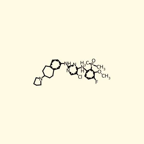 COc1c(F)ccc(Nc2nc(Nc3ccc4c(c3)CCC(N3CCCC3)CC4)ncc2Cl)c1P(C)(C)=O